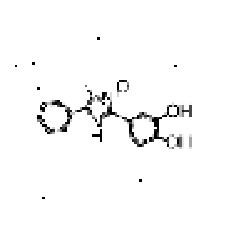 Cc1c(-c2ccccc2)[nH]c(-c2ccc(O)c(O)c2)[n+]1[O-]